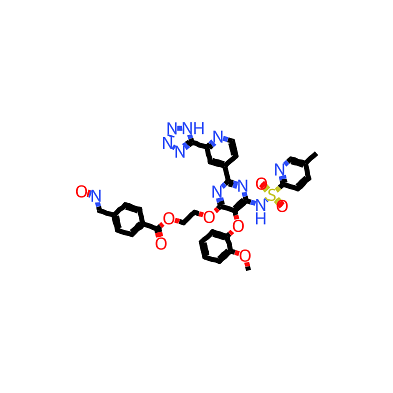 COc1ccccc1Oc1c(NS(=O)(=O)c2ccc(C)cn2)nc(-c2ccnc(-c3nnn[nH]3)c2)nc1OCCOC(=O)c1ccc(CN=O)cc1